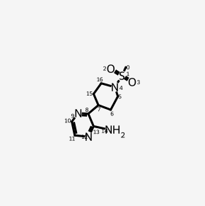 CS(=O)(=O)N1CCC(c2nccnc2N)CC1